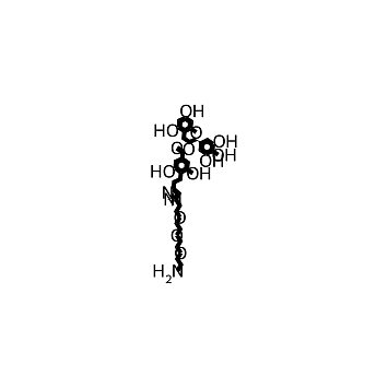 NCCOCCOCCOCCn1cc(CCc2c(O)cc(C(=O)O[C@@H]3Cc4c(O)cc(O)cc4O[C@@H]3c3cc(O)c(O)c(O)c3)cc2O)nn1